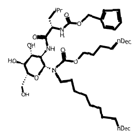 CCCCCCCCCCCCCCCCCCN(C(=O)OCCCCCCCCCCCCCC)[C@@H]1O[C@H](CO)[C@@H](O)[C@H](O)[C@H]1NC(=O)[C@H](CC(C)C)NC(=O)OCc1ccccc1